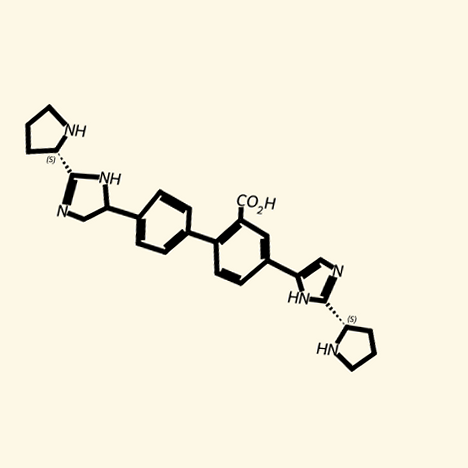 O=C(O)c1cc(-c2cnc([C@@H]3CCCN3)[nH]2)ccc1-c1ccc(C2CN=C([C@@H]3CCCN3)N2)cc1